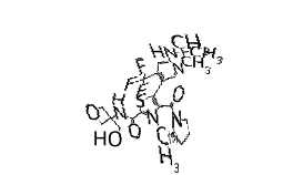 C[C@H]1CCCN1C(=O)c1nc(C(=O)NC2(CO)COC2)sc1-c1cnc(NC(C)(C)C)cc1C(F)(F)F